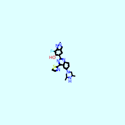 CC1CN(c2ccc3nc(-c4cc5cn(C)nc5c(F)c4O)nc(-c4nccs4)c3c2)CC(C)N1